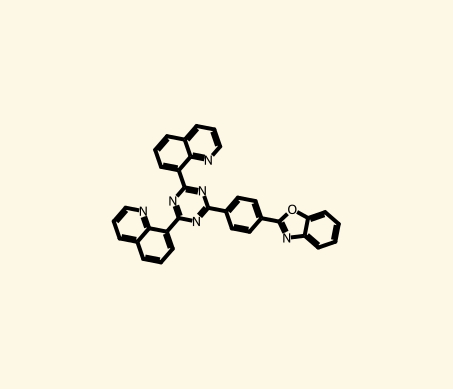 c1cnc2c(-c3nc(-c4ccc(-c5nc6ccccc6o5)cc4)nc(-c4cccc5cccnc45)n3)cccc2c1